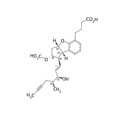 CC#CC[C@H](C)[C@H](O)/C=C/[C@@H]1[C@H]2c3cccc(CCCC(=O)O)c3O[C@H]2C[C@H]1OC(=O)O